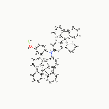 FOc1ccc(N(c2ccc(C3(c4ccccc4)c4ccccc4-c4ccccc43)cc2)c2ccc3c(c2)C(c2ccccc2)(c2ccccc2)c2ccccc2-3)cc1